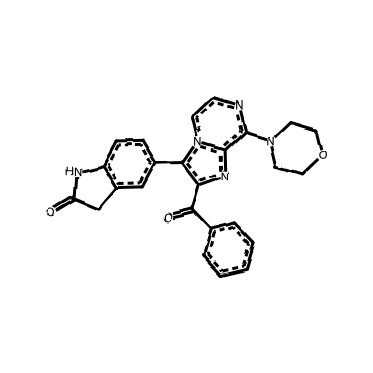 O=C1Cc2cc(-c3c(C(=O)c4ccccc4)nc4c(N5CCOCC5)nccn34)ccc2N1